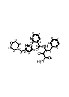 NC(=O)C(=O)C(Cc1ccccc1)NC(=O)c1cccnc1-n1ccc(CN2CCOCC2)n1